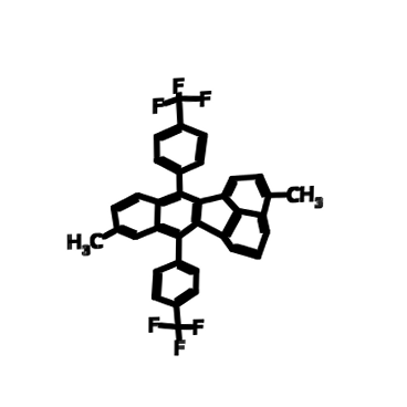 Cc1ccc2c(-c3ccc(C(F)(F)F)cc3)c3c(c(-c4ccc(C(F)(F)F)cc4)c2c1)-c1cccc2c(C)ccc-3c12